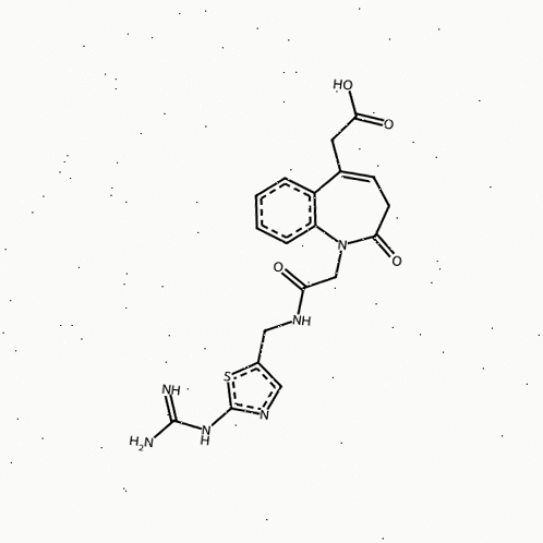 N=C(N)Nc1ncc(CNC(=O)CN2C(=O)CC=C(CC(=O)O)c3ccccc32)s1